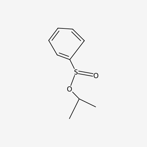 CC(C)OS(=O)c1ccccc1